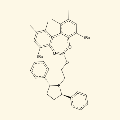 Cc1cc(C(C)(C)C)c2op(OCCP3[C@@H](c4ccccc4)CC[C@@H]3c3ccccc3)oc3c(C(C)(C)C)cc(C)c(C)c3c2c1C